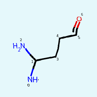 [NH]C(N)CCC=O